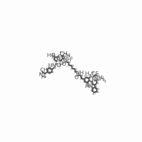 Cc1ncsc1-c1ccc(CNC(=O)[C@@H]2C[C@@H](O)CN2C(=O)C(NC(=O)CCCCCCNC(=O)/C=C/c2cc(F)c([C@@H]3c4[nH]c5ccccc5c4C[C@@H](C)N3CC(C)(C)F)c(F)c2)C(C)(C)C)cc1